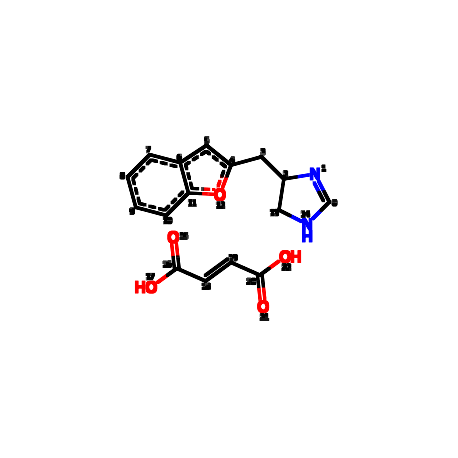 C1=NC(Cc2cc3ccccc3o2)CN1.O=C(O)C=CC(=O)O